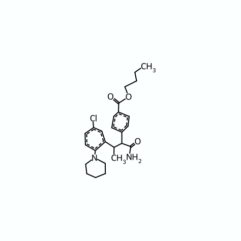 CCCCOC(=O)c1ccc(C(C(N)=O)C(C)c2cc(Cl)ccc2N2CCCCC2)cc1